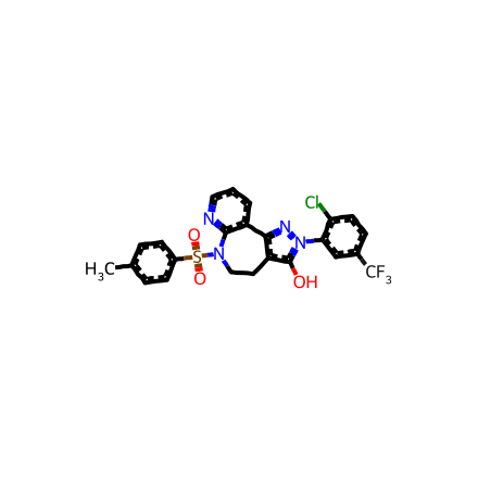 Cc1ccc(S(=O)(=O)N2CCc3c(nn(-c4cc(C(F)(F)F)ccc4Cl)c3O)-c3cccnc32)cc1